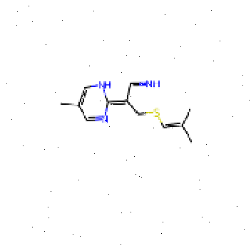 CC(C)=CSC/C(C=N)=C1\N=CC(C)=CN1